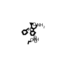 CCCO[PH](=O)Oc1ccc2c(c1)c(CC(N)=O)c(C1CC1)n2Cc1ccccc1